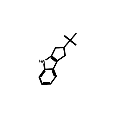 CC(C)(C)C1Cc2[nH]c3ccccc3c2C1